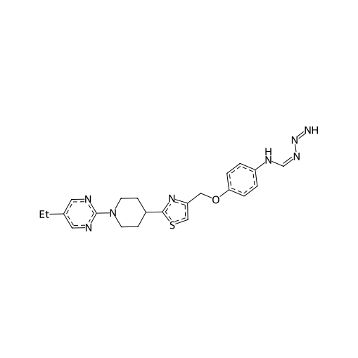 CCc1cnc(N2CCC(c3nc(COc4ccc(N/C=N\N=N)cc4)cs3)CC2)nc1